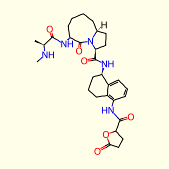 CN[C@@H](C)C(=O)N[C@H]1CCCC[C@H]2CC[C@@H](C(=O)N[C@@H]3CCCc4c(NC(=O)C5CCC(=O)O5)cccc43)N2C1=O